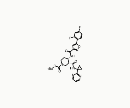 CC(C)(C)OC(=O)N1CC[C@H](NC(=O)c2cc(-c3ccc(F)cc3F)on2)[C@H](C(=O)NC2(c3ncccn3)CC2)C1